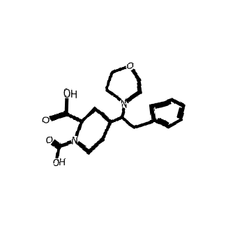 O=C(O)C1CC(C(Cc2ccccc2)N2CCOCC2)CCN1C(=O)O